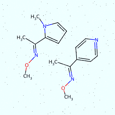 CON=C(C)c1cccn1C.CON=C(C)c1ccncc1